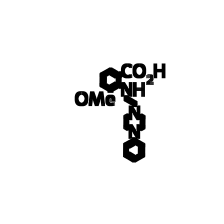 COc1cccc(C(=O)O)c1NCCN1CCN(c2ccccc2)CC1